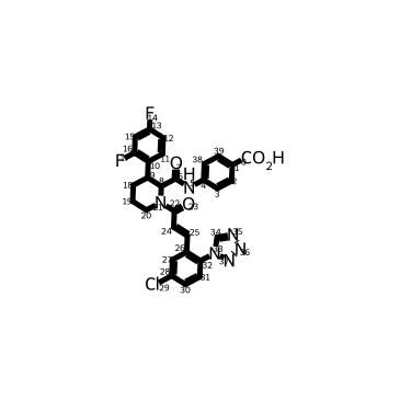 O=C(O)c1ccc(NC(=O)C2C(c3ccc(F)cc3F)CCCN2C(=O)C=Cc2cc(Cl)ccc2-n2cnnn2)cc1